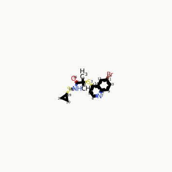 CC(C)(Sc1ccnc2ccc(Br)cc12)C(=O)NSC1CC1